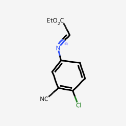 CCOC(=O)/C=N/c1ccc(Cl)c(C#N)c1